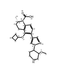 COC1CNCCC1n1cc(-c2ccc3c(c2OC2CCC2)CC[C@H](C)N3C(=O)O)cn1